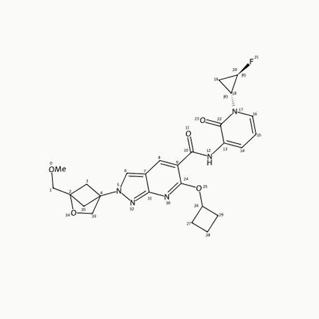 COCC12CC(n3cc4cc(C(=O)Nc5cccn([C@@H]6C[C@H]6F)c5=O)c(OC5CCC5)nc4n3)(CO1)C2